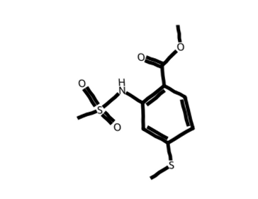 COC(=O)c1ccc(SC)cc1NS(C)(=O)=O